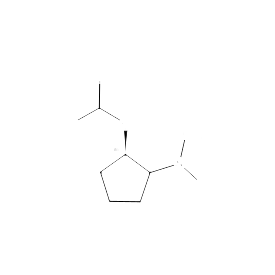 CC(C)O[C@@H]1CCCC1N(C)C